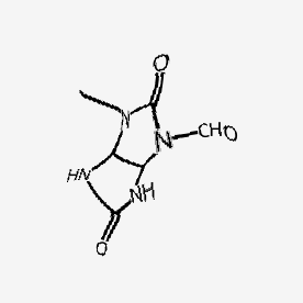 CN1C(=O)N(C=O)C2NC(=O)NC21